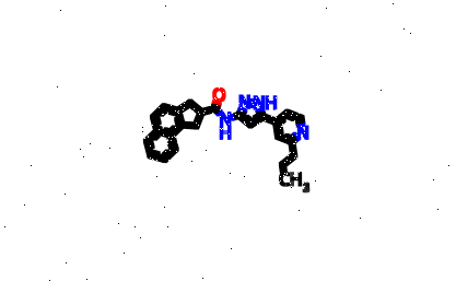 CCCc1cc(-c2cc(NC(=O)C3Cc4ccc5ccccc5c4C3)n[nH]2)ccn1